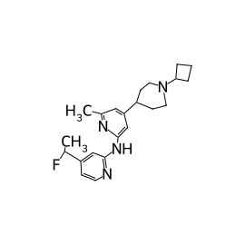 Cc1cc(C2CCN(C3CCC3)CC2)cc(Nc2cc(C(C)F)ccn2)n1